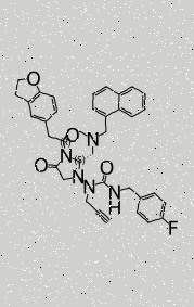 C#CCN(C(=O)NCc1ccc(F)cc1)N1CC(=O)N([C@H](C)Cc2ccc3c(c2)CCO3)[C@@H]1CN(C=O)Cc1cccc2ccccc12